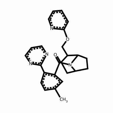 Cc1ccc(-c2ncccn2)c(C(=O)N2C3CCC(COc4ccccn4)C2CC3)c1